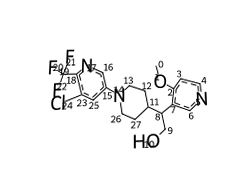 COc1ccncc1C(CO)C1CCN(c2cnc(C(F)(F)F)c(Cl)c2)CC1